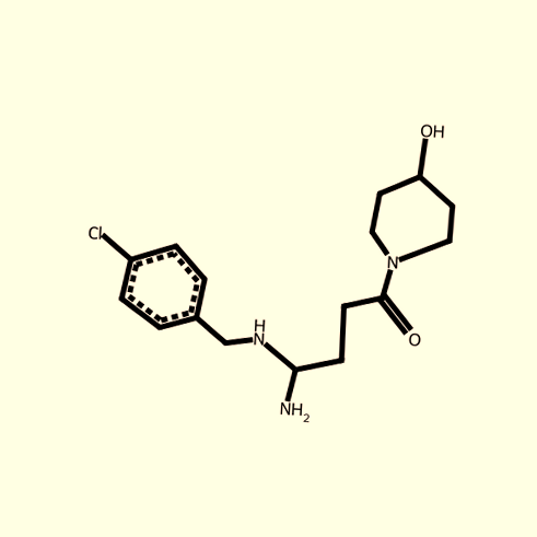 NC(CCC(=O)N1CCC(O)CC1)NCc1ccc(Cl)cc1